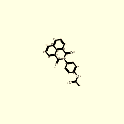 CC(=O)Oc1ccc(N2C(=O)c3cccc4cccc(c34)C2=O)cc1